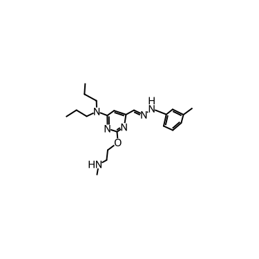 CCCN(CCC)c1cc(/C=N/Nc2cccc(C)c2)nc(OCCNC)n1